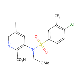 COCN(c1cc(C)cnc1C(=O)O)S(=O)(=O)c1ccc(Cl)c(C(F)(F)F)c1